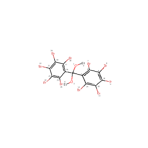 CCOC(OCC)(c1c(Br)c(Br)c(Br)c(Br)c1Br)c1c(Br)c(Br)c(Br)c(Br)c1Br